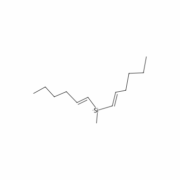 CCCCC=C[Si](C)C=CCCCC